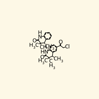 CC1c2cc(C(=O)CCl)ccc2NC(=O)C1(C)C.CC1c2ccccc2NC(=O)C1(C)C